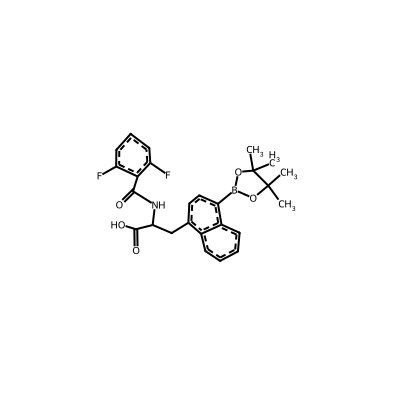 CC1(C)OB(c2ccc(CC(NC(=O)c3c(F)cccc3F)C(=O)O)c3ccccc23)OC1(C)C